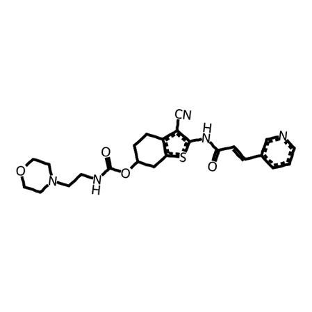 N#Cc1c(NC(=O)C=Cc2cccnc2)sc2c1CCC(OC(=O)NCCN1CCOCC1)C2